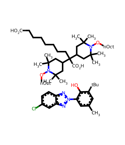 CCCCCCCCON1C(C)(C)CC(C(CCCCCCCC(=O)O)(C(=O)O)C2CC(C)(C)N(OCCCCCCCC)C(C)(C)C2)CC1(C)C.Cc1cc(-n2nc3ccc(Cl)cc3n2)c(O)c(C(C)(C)C)c1